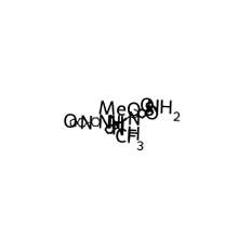 COc1cc(S(N)(=O)=O)ccc1NCC#Cc1nc2c(N[C@H]3CC[C@H](N4CCC5(CCOC5)CC4)CC3)cccc2n1CC(F)(F)F